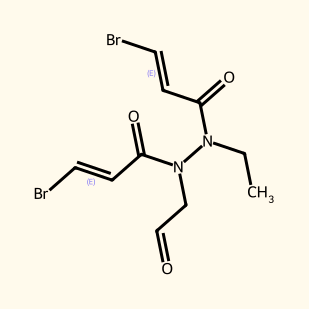 CCN(C(=O)/C=C/Br)N(CC=O)C(=O)/C=C/Br